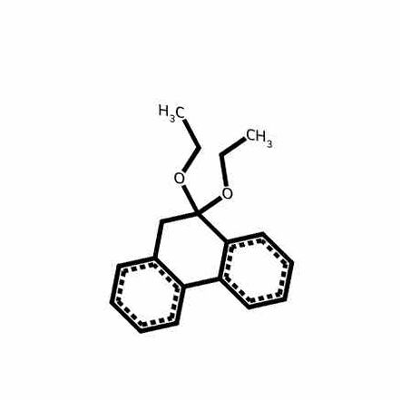 CCOC1(OCC)Cc2ccccc2-c2ccccc21